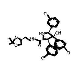 CC1(C)OC[C@H](CCNC(=O)[C@@H]2N[C@@H](c3cccc(Cl)c3)[C@](C#N)(c3ccc(Cl)cc3)[C@H]2c2cccc(Cl)c2)O1